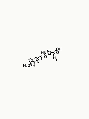 COc1ccccc1Nc1nc2ccc(CC(=O)Nc3ccc(C(C)CC(=O)O)cn3)cc2o1